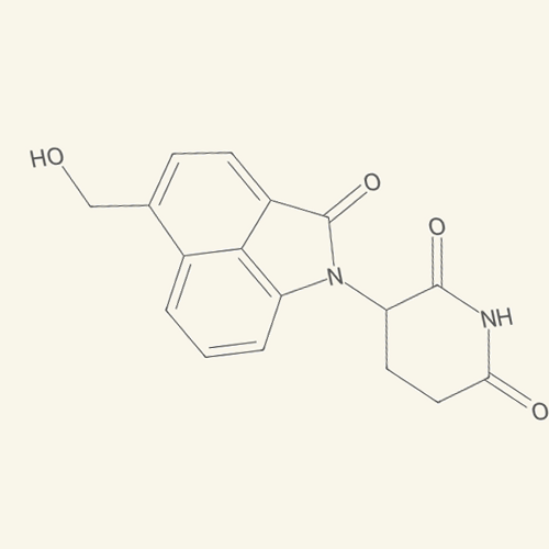 O=C1CCC(N2C(=O)c3ccc(CO)c4cccc2c34)C(=O)N1